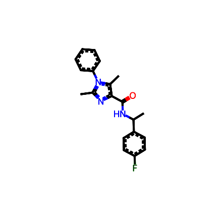 Cc1nc(C(=O)NC(C)c2ccc(F)cc2)c(C)n1-c1ccccc1